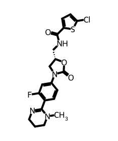 CN1CCCN=C1c1ccc(N2C[C@H](CNC(=O)c3ccc(Cl)s3)OC2=O)cc1F